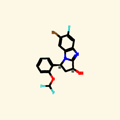 O[C@H]1C[C@@H](c2ccccc2OC(F)F)n2c1nc1cc(F)c(Br)cc12